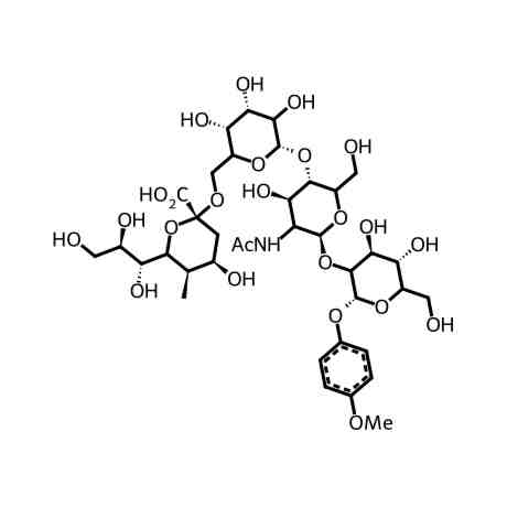 COc1ccc(O[C@H]2OC(CO)[C@@H](O)[C@H](O)C2O[C@@H]2OC(CO)[C@@H](O[C@@H]3OC(CO[C@]4(C(=O)O)C[C@@H](O)[C@@H](C)C([C@H](O)[C@H](O)CO)O4)[C@H](O)[C@H](O)C3O)[C@H](O)C2NC(C)=O)cc1